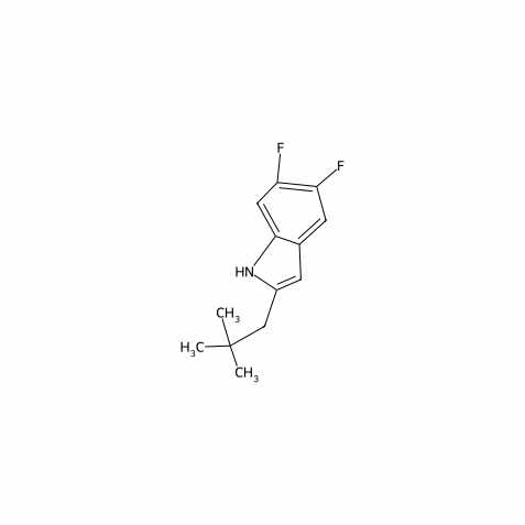 CC(C)(C)Cc1cc2cc(F)c(F)cc2[nH]1